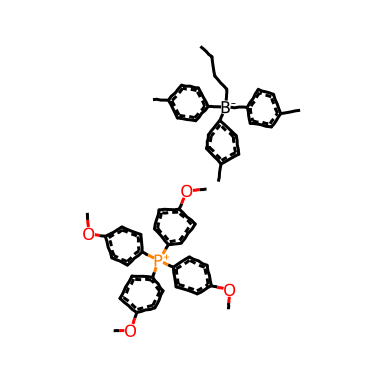 CCCC[B-](c1ccc(C)cc1)(c1ccc(C)cc1)c1ccc(C)cc1.COc1ccc([P+](c2ccc(OC)cc2)(c2ccc(OC)cc2)c2ccc(OC)cc2)cc1